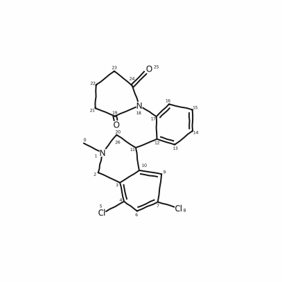 CN1Cc2c(Cl)cc(Cl)cc2C(c2ccccc2N2C(=O)CCCC2=O)C1